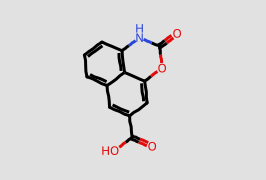 O=C1Nc2cccc3cc(C(=O)O)cc(c23)O1